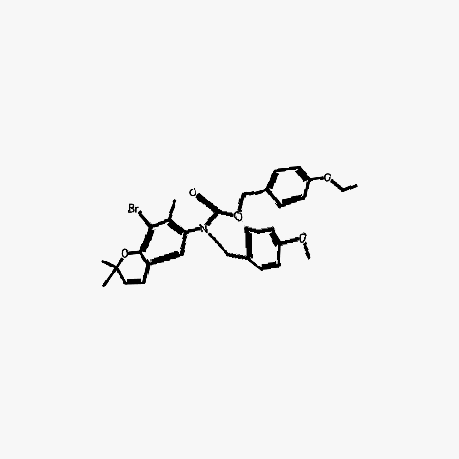 CCOc1ccc(COC(=O)N(Cc2ccc(OC)cc2)c2cc3c(c(Br)c2C)OC(C)(C)C=C3)cc1